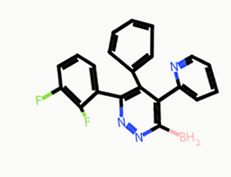 Bc1nnc(-c2cccc(F)c2F)c(-c2ccccc2)c1-c1ccccn1